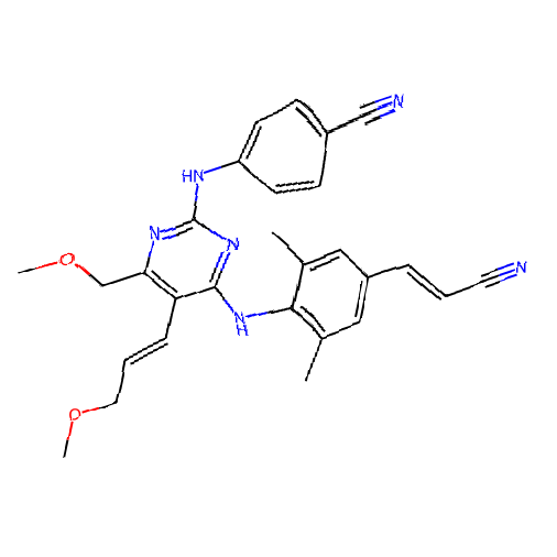 COC/C=C/c1c(COC)nc(Nc2ccc(C#N)cc2)nc1Nc1c(C)cc(/C=C/C#N)cc1C